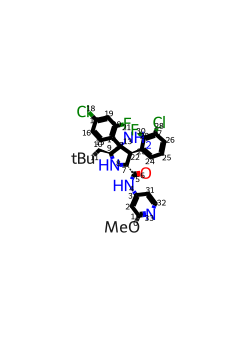 COc1cc(NC(=O)[C@@H]2N[C@@H](CC(C)(C)C)[C@](N)(c3ccc(Cl)cc3F)[C@H]2c2cccc(Cl)c2F)ccn1